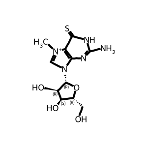 C[n+]1cn([C@@H]2O[C@H](CO)[C@@H](O)[C@H]2O)c2nc(N)[nH]c(=S)c21